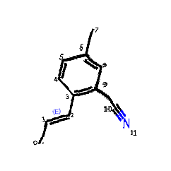 [CH2]/C=C/c1ccc(C)cc1C#N